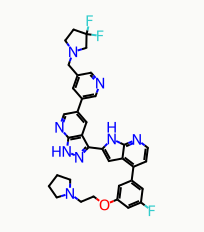 Fc1cc(OCCN2CCCC2)cc(-c2ccnc3[nH]c(-c4n[nH]c5ncc(-c6cncc(CN7CCC(F)(F)C7)c6)cc45)cc23)c1